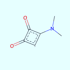 CN(C)c1[c]c(=O)c1=O